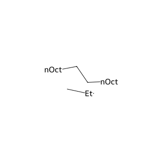 C[CH]C.[CH2]CCCCCCCCCCCCCCCCC